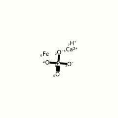 O=P([O-])([O-])[O-].[Ca+2].[Fe].[H+]